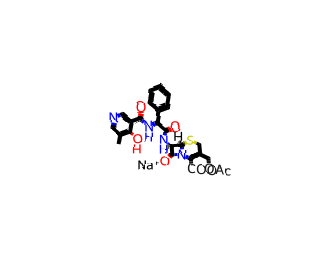 CC(=O)OCC1=C(C(=O)[O-])N2C(=O)[C@@H](NC(=O)C(NC(=O)c3cncc(C)c3O)c3ccccc3)[C@H]2SC1.[Na+]